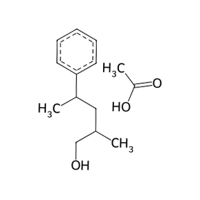 CC(=O)O.CC(CO)CC(C)c1ccccc1